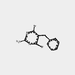 Nc1nc(Br)c(Cc2ccccc2)c(Br)n1